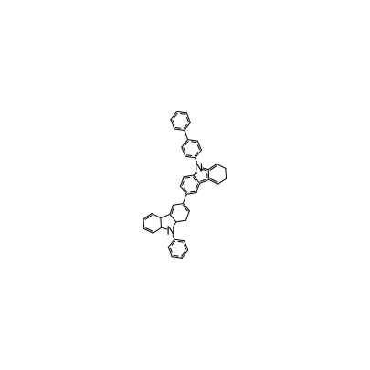 C1=CC2C3=CC(c4ccc5c(c4)c4c(n5-c5ccc(-c6ccccc6)cc5)=CCCC=4)=CCC3N(c3ccccc3)C2C=C1